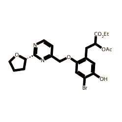 CCOC(=O)C(Cc1cc(O)c(Br)cc1OCc1ccnc([C@@H]2CCCO2)n1)OC(C)=O